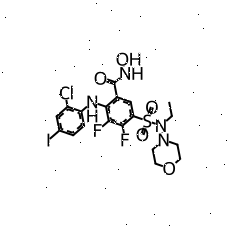 CCN(N1CCOCC1)S(=O)(=O)c1cc(C(=O)NO)c(Nc2ccc(I)cc2Cl)c(F)c1F